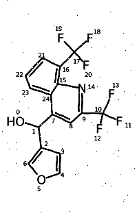 OC(c1ccoc1)c1cc(C(F)(F)F)nc2c(C(F)(F)F)cccc12